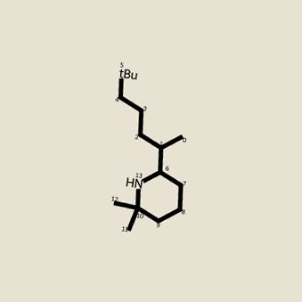 CC(CCCC(C)(C)C)C1CCCC(C)(C)N1